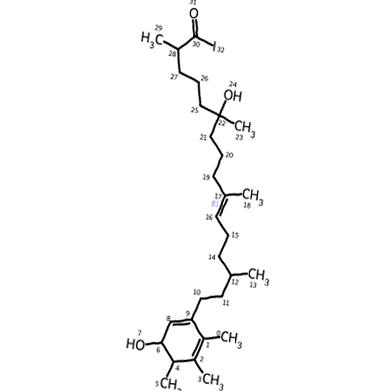 CC1=C(C)C(C)C(O)C=C1CCC(C)CC/C=C(\C)CCCC(C)(O)CCCC(C)C(=O)I